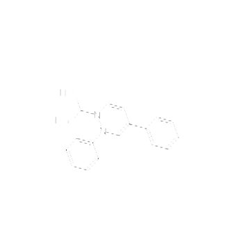 CC(C)N1C=CC(c2ccccc2)=CN1c1ccccc1